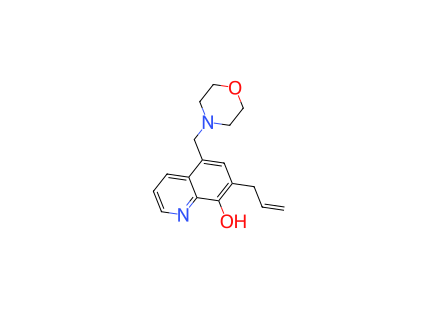 C=CCc1cc(CN2CCOCC2)c2cccnc2c1O